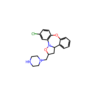 Clc1ccc2c(c1)N1OC(CN3CCNCC3)CC1c1ccccc1O2